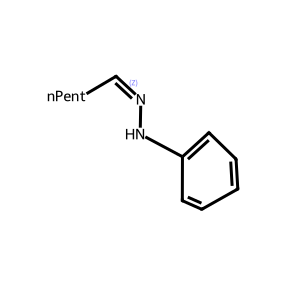 CCCCC/C=N\Nc1ccccc1